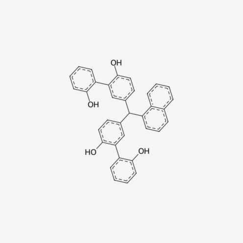 Oc1ccccc1-c1cc(C(c2ccc(O)c(-c3ccccc3O)c2)c2cccc3ccccc23)ccc1O